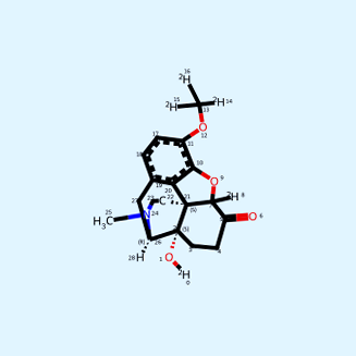 [2H]O[C@@]12CCC(=O)C3([2H])Oc4c(OC([2H])([2H])[2H])ccc5c4[C@@]31CCN(C)[C@@H]2C5